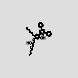 CCCCCCc1cc(-c2nc(-c3ccccc3)nc(-c3ccccc3)n2)c(O)cc1OCC(O)COCCCC